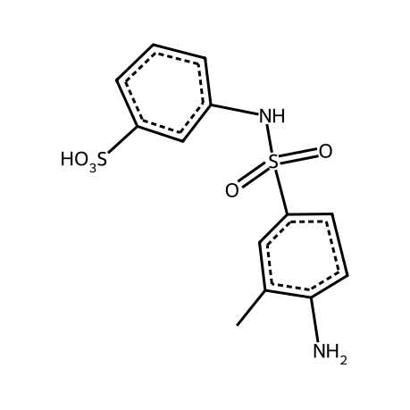 Cc1cc(S(=O)(=O)Nc2cccc(S(=O)(=O)O)c2)ccc1N